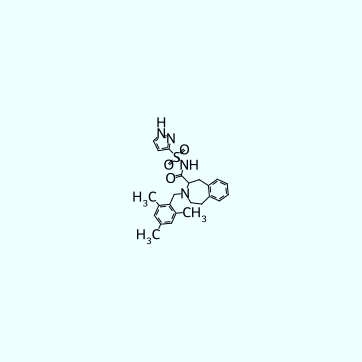 Cc1cc(C)c(CN2CCc3ccccc3CC2C(=O)NS(=O)(=O)c2cc[nH]n2)c(C)c1